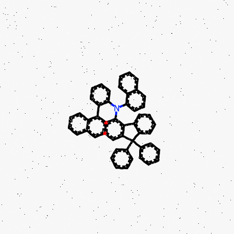 c1ccc(C2(c3ccccc3)c3ccccc3-c3c(N(c4ccccc4-c4cccc5ccccc45)c4cccc5ccccc45)cccc32)cc1